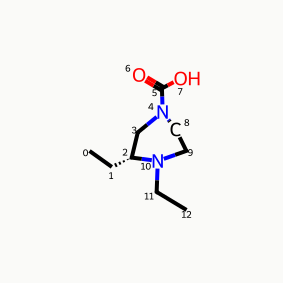 CC[C@@H]1CN(C(=O)O)CCN1CC